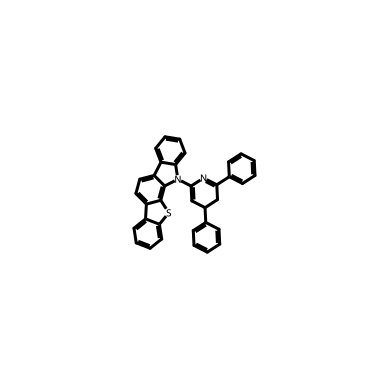 C1=C(n2c3ccccc3c3ccc4c5ccccc5sc4c32)N=C(c2ccccc2)CC1c1ccccc1